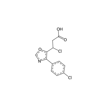 O=C(O)CC(Cl)c1ocnc1-c1ccc(Cl)cc1